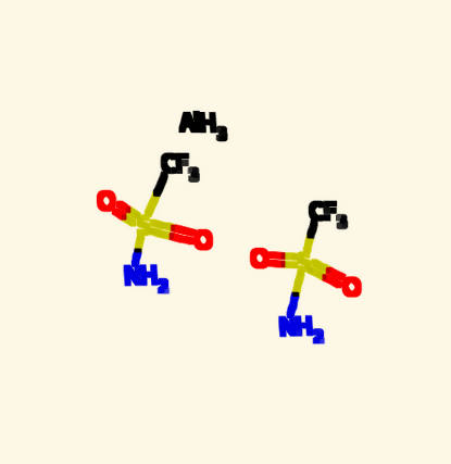 NS(=O)(=O)C(F)(F)F.NS(=O)(=O)C(F)(F)F.[AlH3]